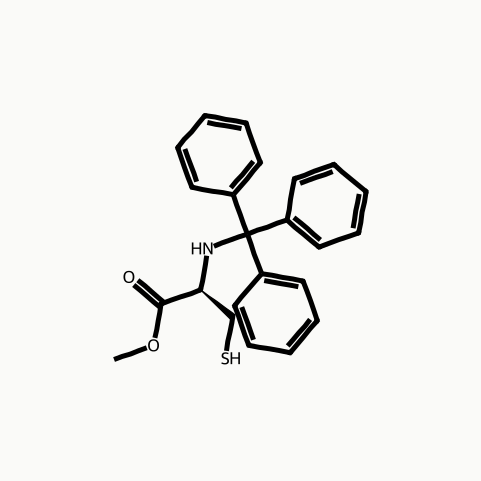 COC(=O)[C@H](CS)NC(c1ccccc1)(c1ccccc1)c1ccccc1